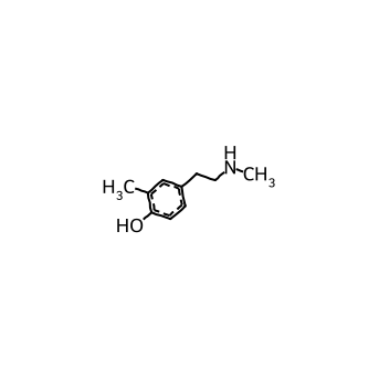 CNCCc1ccc(O)c(C)c1